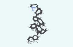 C/C=C\C1CC(c2c3ccccc3c(-c3cccc4c(-c5cccc(C6=CC=CCN6)c5)cccc34)c3ccccc23)C=CC1C